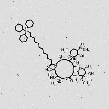 CC[C@H]1OC(=O)[C@H](C)C([C@H]2C[C@@](C)(OC)[C@@H](O)[C@H](C)O2)[C@H](C)[C@@H](O[C@@H]2O[C@H](C)C[C@H](N(C)C)[C@H]2O)[C@](C)(O)C[C@@H](C)CN(C(=O)CCCCCCCCCCC[PH](C2CCCCC2)(C2CCCCC2)C2CCCCC2)[C@H](C)[C@@H](O)[C@]1(C)O